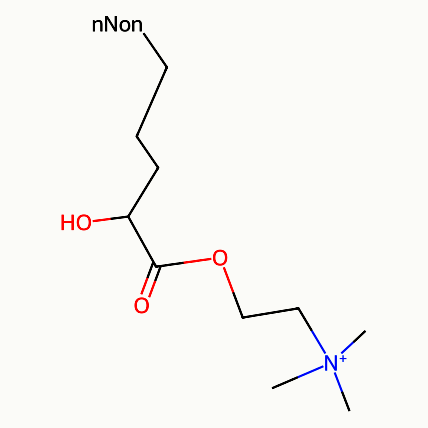 CCCCCCCCCCCCC(O)C(=O)OCC[N+](C)(C)C